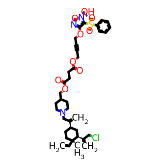 C=C[C@]1(C)CC[C@@H](C(=C)CN2CCC(COC(=O)CCC(=O)OCC#CCOc3no[n+](O)c3S(=O)(=O)c3ccccc3)CC2)C[C@H]1C(=C)CCl